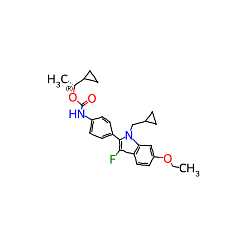 CCOc1ccc2c(F)c(-c3ccc(NC(=O)O[C@H](C)C4CC4)cc3)n(CC3CC3)c2c1